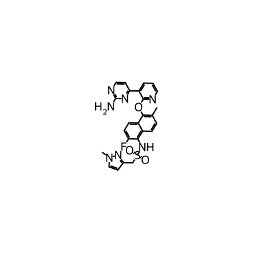 Cc1ccc2c(NS(=O)(=O)Cc3ccn(C)n3)c(F)ccc2c1Oc1ncccc1-c1ccnc(N)n1